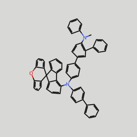 CN(c1ccccc1)c1ccc(-c2ccc(N(c3ccc(-c4ccccc4)cc3)c3cccc4c3-c3ccccc3C43c4ccccc4Oc4ccccc43)cc2)cc1-c1ccccc1